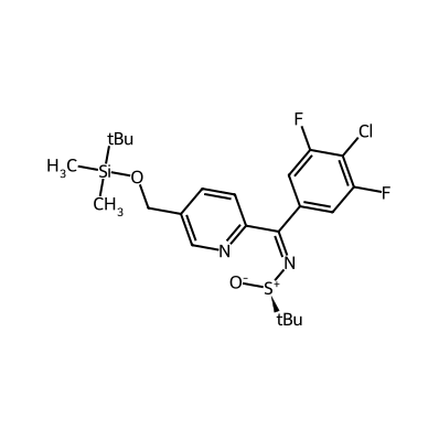 CC(C)(C)[S@@+]([O-])N=C(c1cc(F)c(Cl)c(F)c1)c1ccc(CO[Si](C)(C)C(C)(C)C)cn1